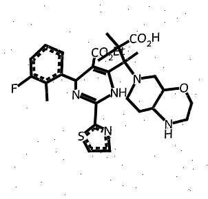 CCOC(=O)C1=C(C(C)(N2CCC3NCCOC3C2)C(C)(C)C(=O)O)NC(c2nccs2)=NC1c1cccc(F)c1C